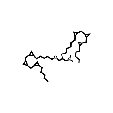 CCCCCC1CC1CC1CC1CC1CC1CCCCCOCC(CN(C)C)OCCCCCC1CC1CC1CC1CC1CC1CCCCC